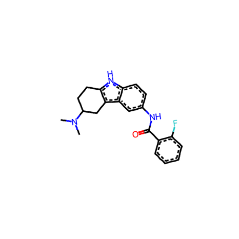 CN(C)C1CCc2[nH]c3ccc(NC(=O)c4ccccc4F)cc3c2C1